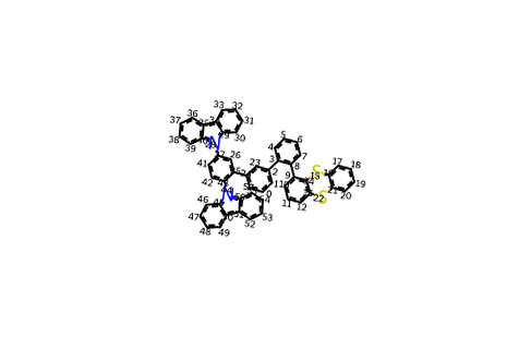 c1cc(-c2ccccc2-c2cccc3c2Sc2ccccc2S3)cc(-c2cc(-n3c4ccccc4c4ccccc43)ccc2-n2c3ccccc3c3ccccc32)c1